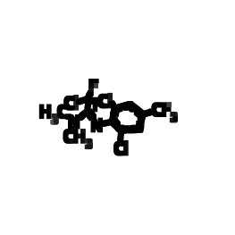 CN(C)C(=Nc1c(Cl)cc(C(F)(F)F)cc1Cl)C(F)(F)Cl